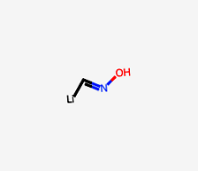 [Li][CH]=NO